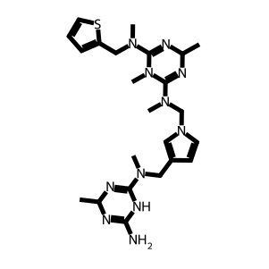 CC1N=C(N)NC(N(C)Cc2ccn(CN(C)C3=NC(C)N=C(N(C)Cc4cccs4)N3C)c2)=N1